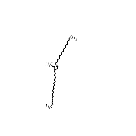 CCCCCCCCCCCCCCCCCCC[n+]1ccn(CCCCCCCCCCCCCCCC)c1CC